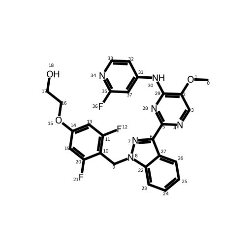 COc1cnc(-c2nn(Cc3c(F)cc(OCCO)cc3F)c3ccccc23)nc1Nc1ccnc(F)c1